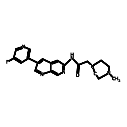 CN1CCN(CC(=O)Nc2cc3cc(-c4cncc(F)c4)cnc3cn2)CC1